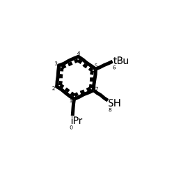 CC(C)c1cccc(C(C)(C)C)c1S